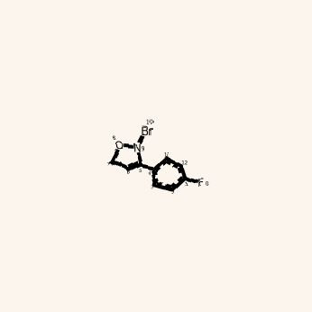 Fc1ccc(C2=C[CH]ON2Br)cc1